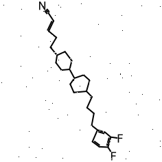 N#CC=CCCC1CCC(C2CCC(CCCCc3ccc(F)c(F)c3)CC2)CC1